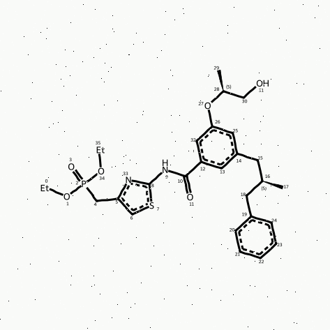 CCOP(=O)(Cc1csc(NC(=O)c2cc(C[C@@H](C)Cc3ccccc3)cc(O[C@@H](C)CO)c2)n1)OCC